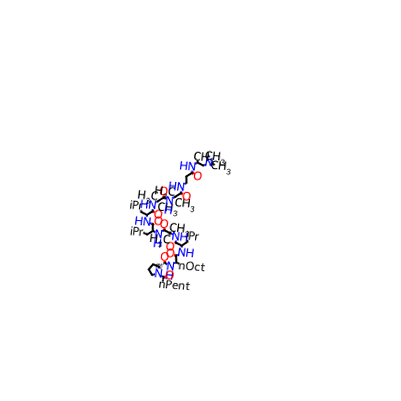 CCCCCCCCC(NC(=O)[C@H]1CCCN1C(=O)CCCCC)C(=O)NC(CC(C)C)C(=O)NC(C)(C)C(=O)NC(CC(C)C)C(=O)NC(CC(C)C)C(=O)NC(C)(C)C(=O)NC(C)(C)C(=O)NCCC(=O)NC(C)CN(C)C